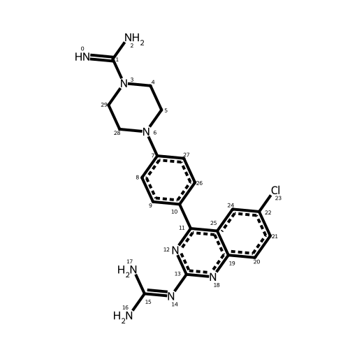 N=C(N)N1CCN(c2ccc(-c3nc(N=C(N)N)nc4ccc(Cl)cc34)cc2)CC1